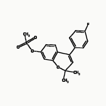 CC1(C)C=C(c2ccc(F)cc2)c2ccc(OS(C)(=O)=O)cc2O1